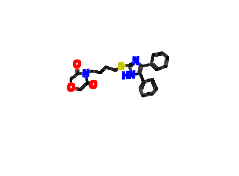 O=C1COCC(=O)N1CCCCSc1nc(-c2ccccc2)c(-c2ccccc2)[nH]1